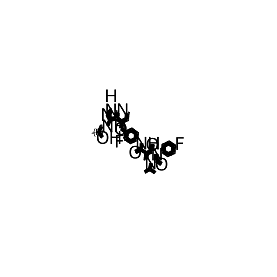 CC(C)n1cc(C(=O)Nc2ccc(Oc3ccnc4[nH]nc(NC[C@@H](C)O)c34)c(F)c2)c(=O)n(-c2ccc(F)cc2)c1=O